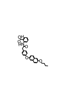 CCCCOc1ccc2cc(Oc3ccc(CC(=O)Nc4ccccc4C(=O)O)cc3)ccc2c1